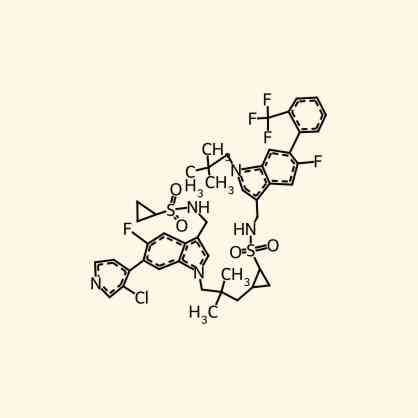 CC(C)(C)Cn1cc(CNS(=O)(=O)C2CC2CC(C)(C)Cn2cc(CNS(=O)(=O)C3CC3)c3cc(F)c(-c4ccncc4Cl)cc32)c2cc(F)c(-c3ccccc3C(F)(F)F)cc21